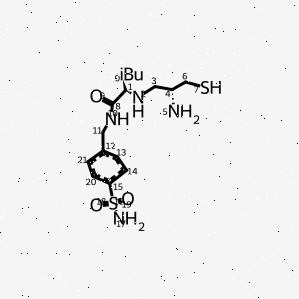 CC[C@H](C)[C@H](NC[C@@H](N)CS)C(=O)NCc1ccc(S(N)(=O)=O)cc1